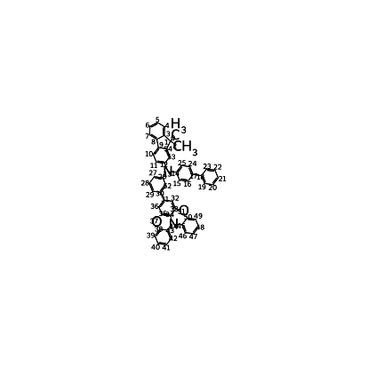 CC1(C)c2ccccc2-c2ccc(N(c3ccc(-c4ccccc4)cc3)c3cccc(-c4cc5c6c(c4)Oc4ccccc4N6c4ccccc4O5)c3)cc21